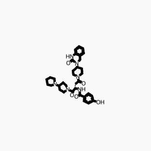 O=C(N[C@@H](CC(=O)N1CCC(N2Cc3ccccc3NC2=O)CC1)C(=O)N1CCC(N2CCCCC2)CC1)c1ccc(O)cc1